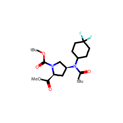 COC(=O)[C@@H]1C[C@H](N(C(=O)C(C)(C)C)C2CCC(F)(F)CC2)CN1C(=O)OC(C)(C)C